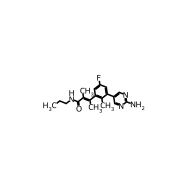 CCCNC(=O)/C(C)=C(\C)c1cc(F)cc(-c2cnc(N)nc2)c1C